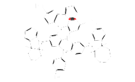 CC(C)(C)c1ccc(N2c3ccc(N4c5ccccc5C5(C)CCCCCC45C)cc3B3c4cc(C(C)(C)C)ccc4N(c4ccc(C(C)(C)C)cc4-c4ccccc4)c4cc(N5c6ccccc6C6(C)CCCCC56C)cc2c43)cc1